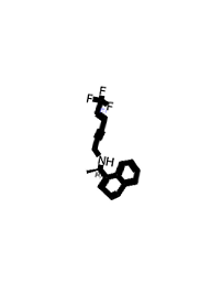 C[C@@H](NCC#C/C=C/C(F)(F)F)c1cccc2ccccc12